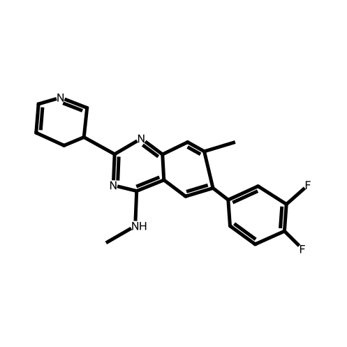 CNc1nc(C2C=NC=CC2)nc2cc(C)c(-c3ccc(F)c(F)c3)cc12